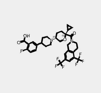 O=C(O)c1cc(C2CCN([C@@H]3CC[C@@](C(=O)N4CCc5c(cc(C(F)(F)F)cc5C(F)(F)F)C4)(C4CC4)OC3)CC2)ccc1F